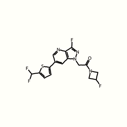 O=C(Cn1nc(F)c2ncc(-c3ccc(C(F)F)s3)cc21)N1CC(F)C1